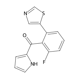 O=C(c1ccc[nH]1)c1c(F)cccc1-c1cncs1